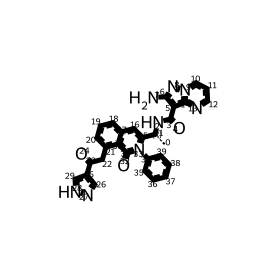 C[C@@H](NC(=O)c1c(N)nn2cccnc12)c1cc2cccc(CC(=O)c3cn[nH]c3)c2c(=O)n1-c1ccccc1